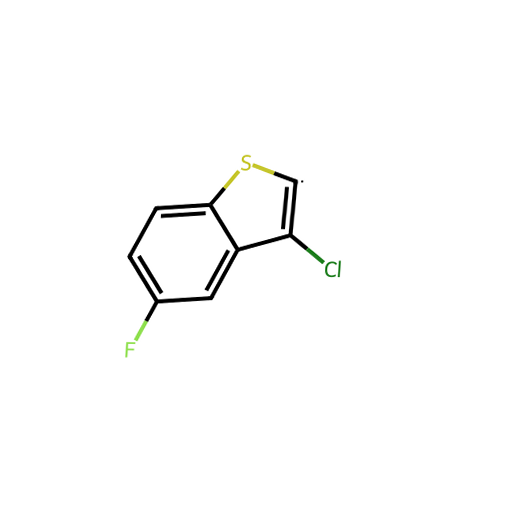 Fc1ccc2s[c]c(Cl)c2c1